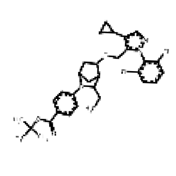 CCC1C2CC(CC2OCc2c(C3CC3)cnn2-c2c(Cl)cccc2Cl)N1c1ccc(C(=O)OC(C)(C)C)cc1